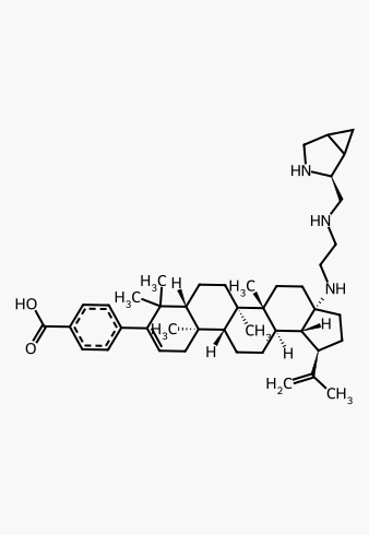 C=C(C)[C@@H]1CC[C@]2(NCCNC[C@H]3NCC4CC43)CC[C@]3(C)[C@H](CC[C@@H]4[C@@]5(C)CC=C(c6ccc(C(=O)O)cc6)C(C)(C)[C@@H]5CC[C@]43C)[C@@H]12